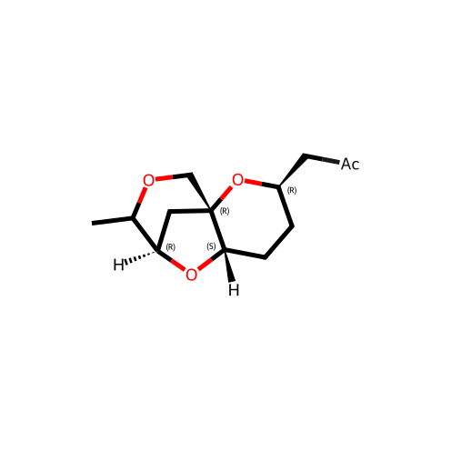 CC(=O)C[C@H]1CC[C@@H]2O[C@@H]3C[C@]2(COC3C)O1